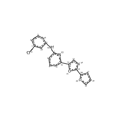 Clc1ccnc(Nc2cccc(-c3cnc(-c4ccco4)o3)n2)c1